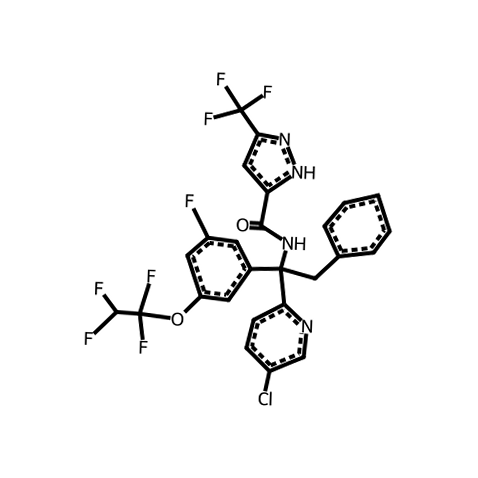 O=C(NC(Cc1ccccc1)(c1cc(F)cc(OC(F)(F)C(F)F)c1)c1ccc(Cl)cn1)c1cc(C(F)(F)F)n[nH]1